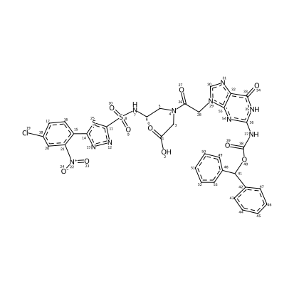 O=C(O)CN(CCNS(=O)(=O)c1nnc(-c2ccc(Cl)cc2[N+](=O)[O-])s1)C(=O)Cn1cnc2c(=O)[nH]c(NC(=O)OC(c3ccccc3)c3ccccc3)nc21